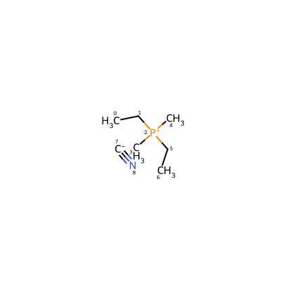 CC[P+](C)(C)CC.[C-]#N